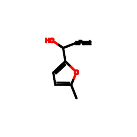 CCCCCC(O)c1ccc(C)o1